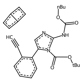 C#Cc1ccccc1-c1cnc(NC(=O)OCCCC)n1C(=O)OC(C)(C)C.c1cc2ccc1-2